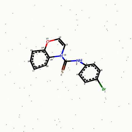 S=C(Nc1ccc(Br)cc1)N1C=COc2ccccc21